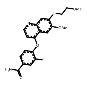 COCCOc1cc2nccc(Oc3ccc(C(N)=O)cc3F)c2cc1OC